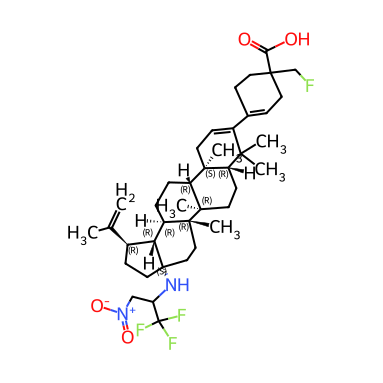 C=C(C)[C@@H]1CC[C@]2(NC(C[N+](=O)[O-])C(F)(F)F)CC[C@]3(C)[C@H](CC[C@@H]4[C@@]5(C)CC=C(C6=CCC(CF)(C(=O)O)CC6)C(C)(C)[C@@H]5CC[C@]43C)[C@@H]12